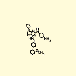 COc1ccccc1-c1ccc(CNc2nc(NC3CCC(N)CC3)nc3c2ncn3C2CCCC2)cc1